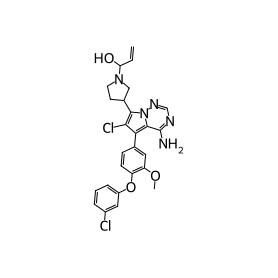 C=CC(O)N1CCC(c2c(Cl)c(-c3ccc(Oc4cccc(Cl)c4)c(OC)c3)c3c(N)ncnn23)C1